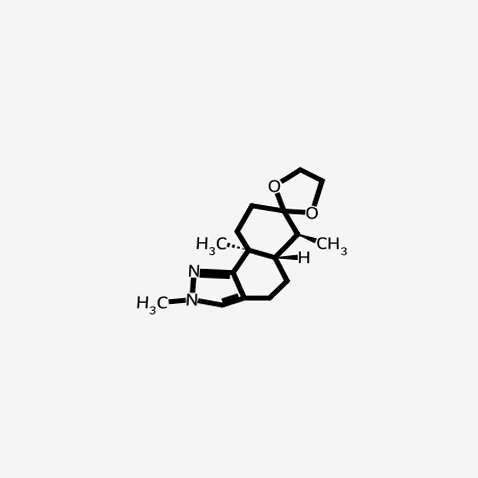 C[C@H]1[C@@H]2CCc3cn(C)nc3[C@@]2(C)CCC12OCCO2